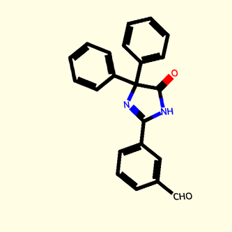 O=Cc1cccc(C2=NC(c3ccccc3)(c3ccccc3)C(=O)N2)c1